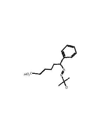 CC(C)(Cl)/N=N/C(CCCCC(=O)O)c1ccccc1